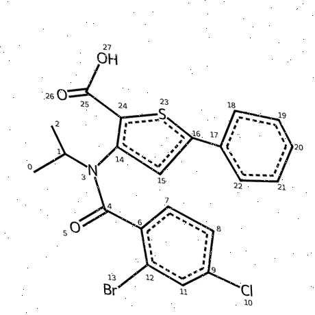 CC(C)N(C(=O)c1ccc(Cl)cc1Br)c1cc(-c2ccccc2)sc1C(=O)O